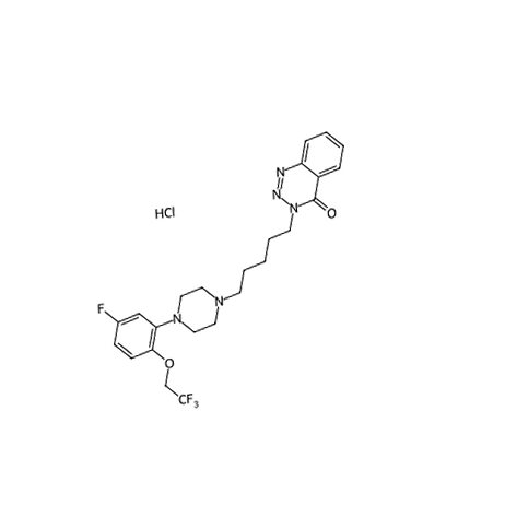 Cl.O=c1c2ccccc2nnn1CCCCCN1CCN(c2cc(F)ccc2OCC(F)(F)F)CC1